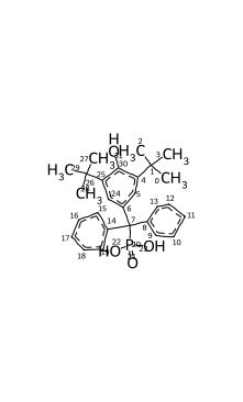 CC(C)(C)c1cc(C(c2ccccc2)(c2ccccc2)P(=O)(O)O)cc(C(C)(C)C)c1O